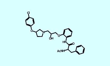 CC(=O)NC(Cc1ccccc1)C(=O)Nc1ccccc1OCC(O)CN1CCC(Oc2ccc(Cl)cc2)C1